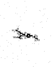 CCNNC(=O)OCc1ccc(NC(=O)[C@H](CCCNC(N)=O)NC(=O)[C@@H](NC)C(C)C)cc1